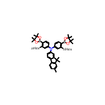 CCCCCCc1cc(N(c2ccc(B3OC(C)(C)C(C)(C)O3)c(CCCCCC)c2)c2ccc3c(c2)C(C)(C)c2cc(C)ccc2-3)ccc1B1OC(C)(C)C(C)(C)O1